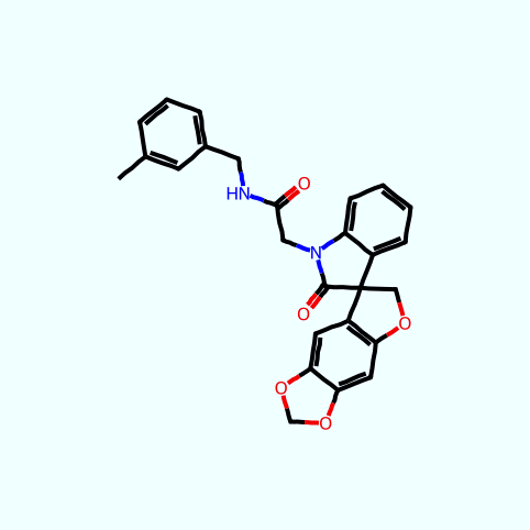 Cc1cccc(CNC(=O)CN2C(=O)C3(COc4cc5c(cc43)OCO5)c3ccccc32)c1